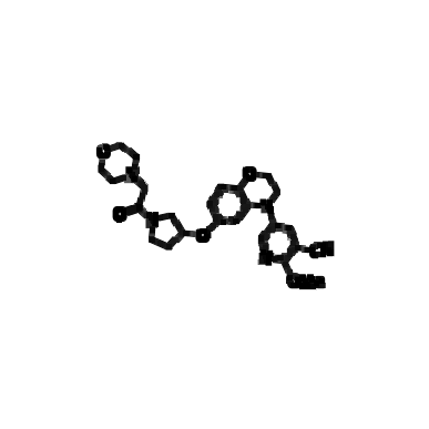 COc1ncc(N2CCOc3ccc(OC4CCN(C(=O)CN5CCOCC5)C4)cc32)cc1C#N